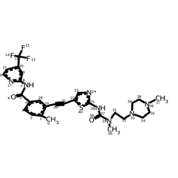 Cc1ccc(C(=O)Nc2cc(C(F)(F)F)ccn2)cc1C#Cc1cnc(NC(=O)N(C)CCN2CCN(C)CC2)s1